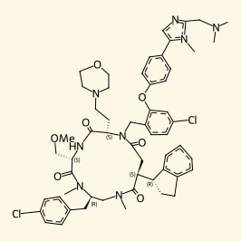 COC[C@@H]1NC(=O)[C@H](CCN2CCOCC2)N(Cc2ccc(Cl)cc2Oc2ccc(-c3cnc(CN(C)C)n3C)cc2)C(=O)C[C@@H]([C@H]2CCc3ccccc32)C(=O)N(C)C[C@@H](Cc2ccc(Cl)cc2)N(C)C1=O